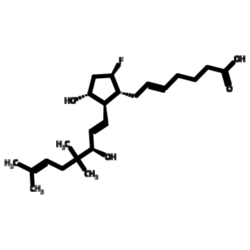 CC(C)=CCC(C)(C)[C@H](O)C=C[C@@H]1[C@@H](CC=CCCCC(=O)O)[C@H](F)C[C@H]1O